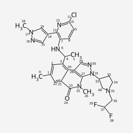 Cc1cc(C(C)Nc2ccc(Cl)nc2-c2cnn(C)c2)c2c(c1)c(=O)n(C)c1c2cnn1C1CCN(CC(F)F)C1